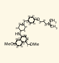 COCc1nnc(NC2CCN(Cc3ccc(OCCCN(C)C)cc3)CC2)c2cc(OC)ccc12